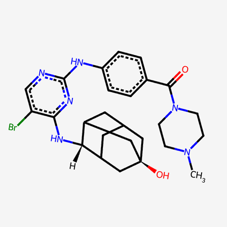 CN1CCN(C(=O)c2ccc(Nc3ncc(Br)c(N[C@H]4C5CC6CC4C[C@](O)(C6)C5)n3)cc2)CC1